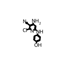 N#Cc1c(N)cc(Nc2ccc(O)cc2)nc1Cl